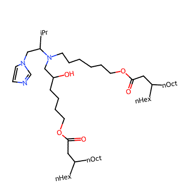 CCCCCCCCC(CCCCCC)CC(=O)OCCCCCCN(CC(O)CCCCOC(=O)CC(CCCCCC)CCCCCCCC)C(Cn1ccnc1)C(C)C